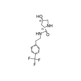 O=C(NCCc1ccc(C(F)(F)F)cc1)[C@@H]1C[C@@H](O)CN1